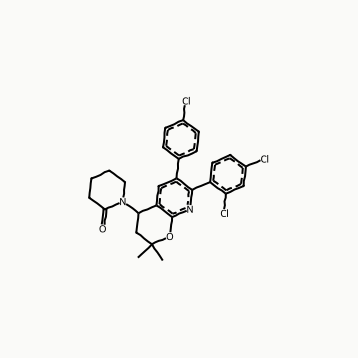 CC1(C)CC(N2CCCCC2=O)c2cc(-c3ccc(Cl)cc3)c(-c3ccc(Cl)cc3Cl)nc2O1